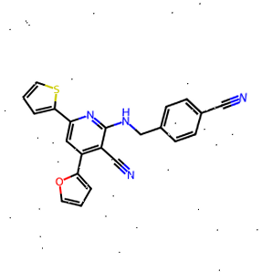 N#Cc1ccc(CNc2nc(-c3cccs3)cc(-c3ccco3)c2C#N)cc1